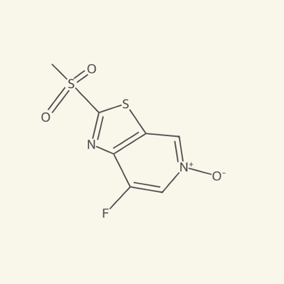 CS(=O)(=O)c1nc2c(F)c[n+]([O-])cc2s1